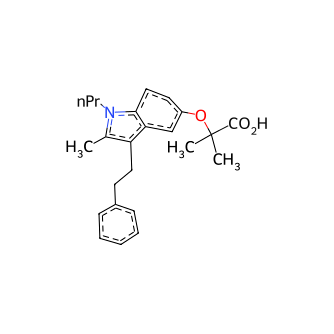 CCCn1c(C)c(CCc2ccccc2)c2cc(OC(C)(C)C(=O)O)ccc21